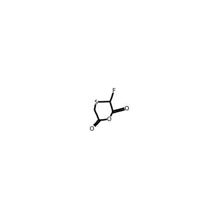 O=C1CSC(F)C(=O)O1